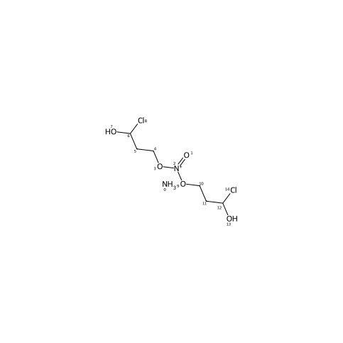 N.O=[N+](OCCC(O)Cl)OCCC(O)Cl